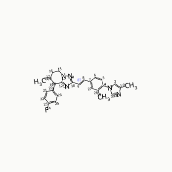 Cc1cn(-c2ccc(/C=C/c3nc4n(n3)CC[C@@H](C)[C@@H]4c3ccc(F)cc3)cc2C)cn1